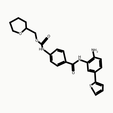 Nc1ccc(-c2cccs2)cc1NC(=O)c1ccc(NC(=O)OCC2CCCCO2)cc1